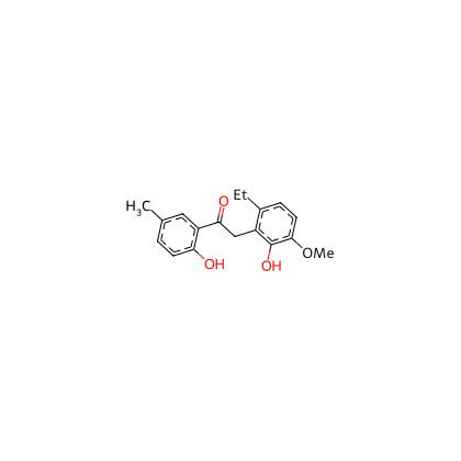 CCc1ccc(OC)c(O)c1CC(=O)c1cc(C)ccc1O